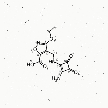 CCOc1noc(C(=O)O)c1CNc1c(N)c(=O)c1=O